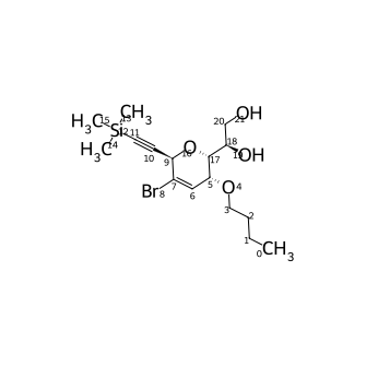 CCCCO[C@@H]1C=C(Br)[C@@H](C#C[Si](C)(C)C)O[C@@H]1[C@H](O)CO